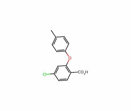 Cc1ccc(Oc2cc(Cl)ccc2C(=O)O)cc1